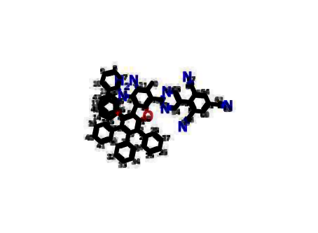 Cc1c(N)c(-n2c3ccccc3c3ccccc32)c2c(oc3c(-c4ccccc4)c(-c4ccccc4)c(-c4ccccc4)c(-c4ccccc4)c32)c1-c1ncc(-c2c(C#N)cc(C#N)cc2C#N)cn1